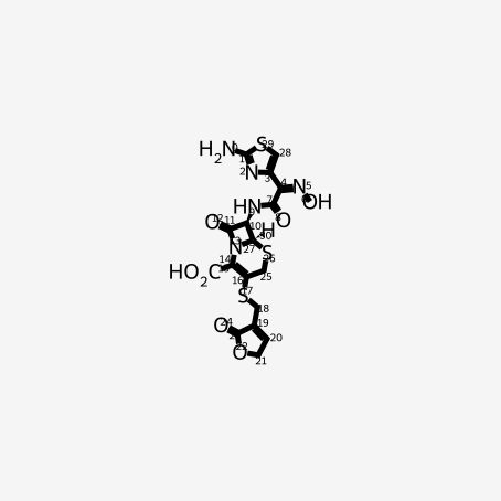 Nc1nc(/C(=N/O)C(=O)N[C@@H]2C(=O)N3C(C(=O)O)=C(SCC4=CCOC4=O)CS[C@H]23)cs1